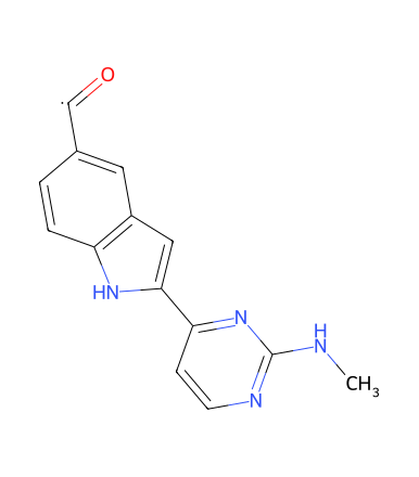 CNc1nccc(-c2cc3cc([C]=O)ccc3[nH]2)n1